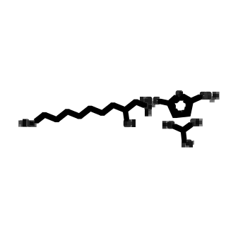 CCCC(O)O.CCCCCCCCCCCCCCCCCC(O)CO.O=C(O)c1ccc(C(=O)O)o1